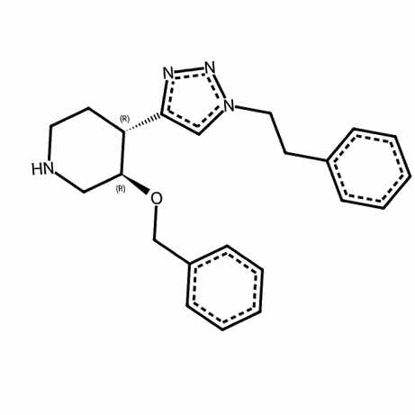 c1ccc(CCn2cc([C@H]3CCNC[C@@H]3OCc3ccccc3)nn2)cc1